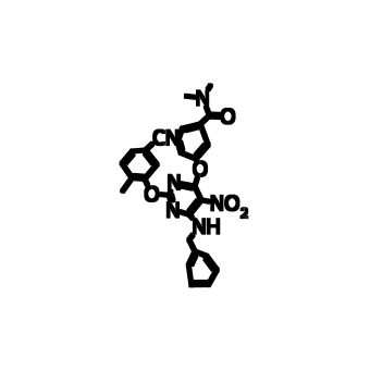 Cc1ccc(C#N)cc1Oc1nc(NCc2ccccc2)c([N+](=O)[O-])c(Oc2cccc(C(=O)N(C)C)c2)n1